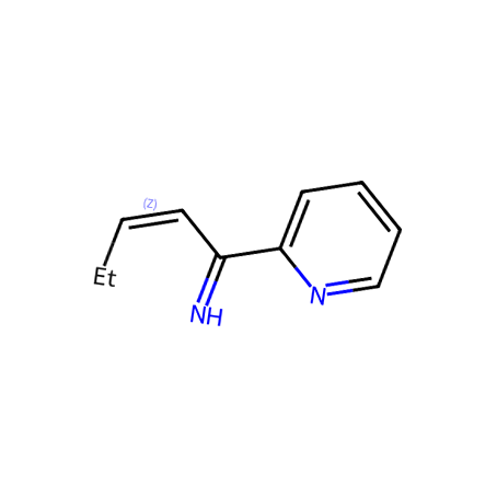 CC/C=C\C(=N)c1ccccn1